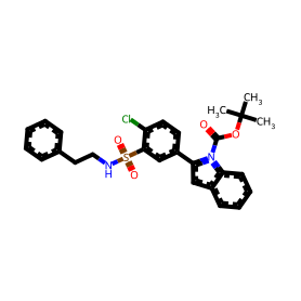 CC(C)(C)OC(=O)n1c(-c2ccc(Cl)c(S(=O)(=O)NCCc3ccccc3)c2)cc2ccccc21